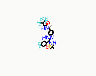 C[C@@H](NC(=O)CC(C(F)(F)F)C(F)(F)F)c1ccc2nc([C@@H](N[S@+]([O-])C(C)(C)C)C3CCC(F)(F)CC3)[nH]c2c1